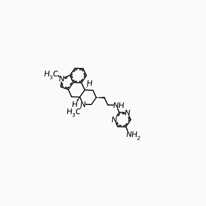 CN1C[C@H](CCNc2ncc(N)cn2)C[C@@H]2c3cccc4c3c(cn4C)C[C@H]21